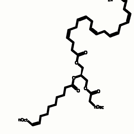 CC/C=C\C/C=C\C/C=C\C/C=C\C/C=C\C/C=C\CCC(=O)OC[C@@H](COC(=O)CCCCCCCCCCC)OC(=O)CCCCCCC/C=C\CCCCCCCC